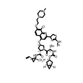 C=C[C@@H]1C[C@]1(NC(=O)[C@@H]1C[C@@H](Oc2cc(C3CSC(NC(C)C)=N3)nc3c(Cl)c(OCCN4CCN(C)CC4)ccc23)CN1C(=O)[C@@H](NC(=O)O[C@@H]1C[C@@H]2C[C@@H]2C1)C(C)(C)C)C(=O)O